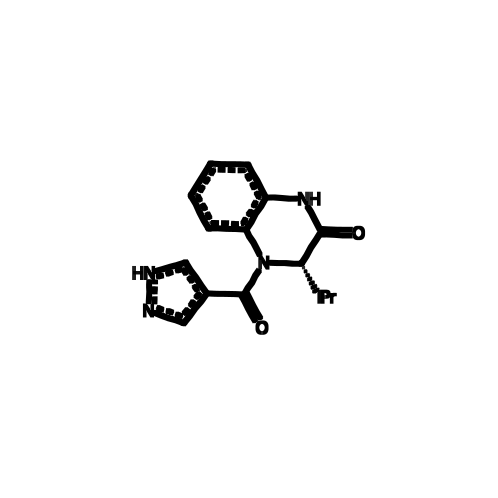 CC(C)[C@H]1C(=O)Nc2ccccc2N1C(=O)c1cn[nH]c1